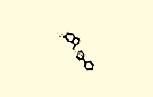 COc1ccc2c(c1)C(CN1CC3CCC1CN3c1ccccc1)CC2